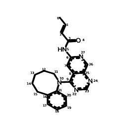 CC=CC(=O)Nc1cc2c(N3CCCCCc4ccccc43)ncnc2cn1